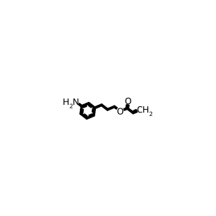 C=CC(=O)OCCCc1cccc(N)c1